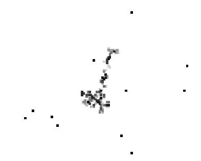 CCCCCCCCCCC=CCCCCCCCC(CC)(P(=O)=O)[N+](C)(C)C